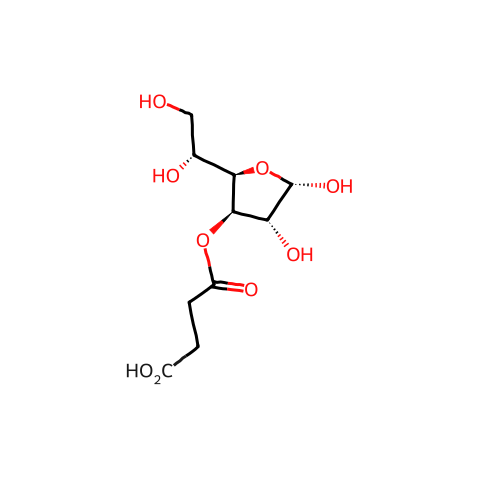 O=C(O)CCC(=O)O[C@@H]1[C@@H](O)[C@@H](O)O[C@@H]1[C@H](O)CO